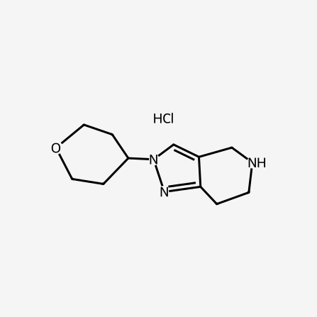 Cl.c1c2c(nn1C1CCOCC1)CCNC2